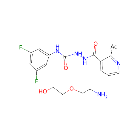 CC(=O)c1ncccc1C(=O)NNC(=O)Nc1cc(F)cc(F)c1.NCCOCCO